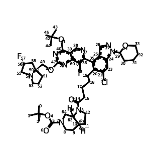 CC(C)(C)OC(=O)N1CC[C@H]2CCN(C(=O)CCCCc3c(Cl)cc4c(cnn4C4CCCCO4)c3-c3ncc4c(OC(C)(C)C)nc(OC[C@@]56CCCN5C[C@H](F)C6)nc4c3F)[C@H]2C1